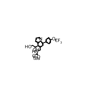 CC(C)(C)OC(=O)NCc1cc(-c2ccc(OC(F)(F)F)cc2)c2ncccc2c1[C@@H](O)CO